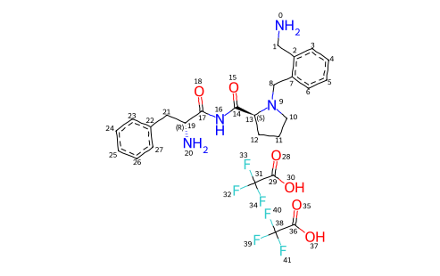 NCc1ccccc1CN1CCC[C@H]1C(=O)NC(=O)[C@H](N)Cc1ccccc1.O=C(O)C(F)(F)F.O=C(O)C(F)(F)F